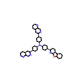 c1cnc2cnc(-c3ccc(N(c4ccc(-c5cc6cccnc6cn5)cc4)c4ccc(-c5ccc6c(n5)oc5ccccc56)cc4)cc3)cc2c1